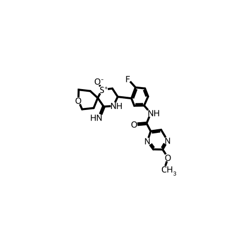 COc1cnc(C(=O)Nc2ccc(F)c(C3C[S+]([O-])C4(CCOCC4)C(=N)N3)c2)cn1